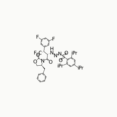 CC(C)c1cc(C(C)C)c(S(=O)(=O)/N=N/N[C@H](C(=O)N2C(=O)OC[C@@H]2Cc2ccccc2)[C@@H](c2cc(F)cc(F)c2)C(F)(F)F)c(C(C)C)c1